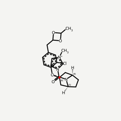 CC1OC(Cc2ccc(O[C@H]3C[C@H]4CC[C@@H](C3)N4C(=O)n3cc[n+](C)c3)c(Cl)c2)O1